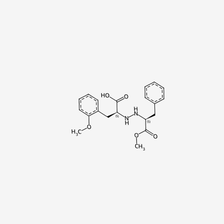 COC(=O)[C@H](Cc1ccccc1)NN[C@@H](Cc1ccccc1OC)C(=O)O